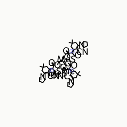 CSC(=O)/C(C(=O)OCC(COC(=O)/C(C(=O)SC)=C1\CC(C)(C)CC(N2CCCC2)=C1C#N)COC(=O)/C(C(=O)SC)=C1\CC(C)(C)CC(N2CCCC2)=C1C#N)=C1/CC(C)(C)CC(N2CCCC2)=C1C#N